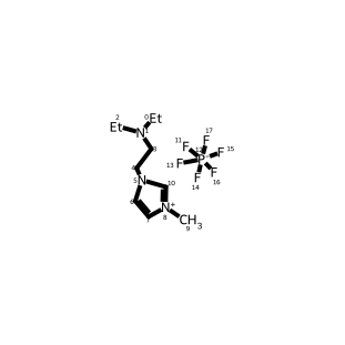 CCN(CC)CCn1cc[n+](C)c1.F[P-](F)(F)(F)(F)F